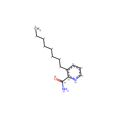 CCCCCCCCc1cccnc1C(N)=O